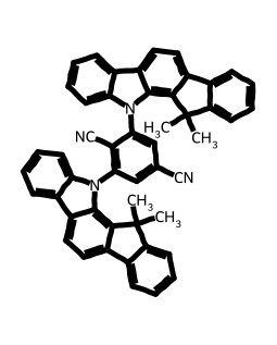 CC1(C)c2ccccc2-c2ccc3c4ccccc4n(-c4cc(C#N)cc(-n5c6ccccc6c6ccc7c(c65)C(C)(C)c5ccccc5-7)c4C#N)c3c21